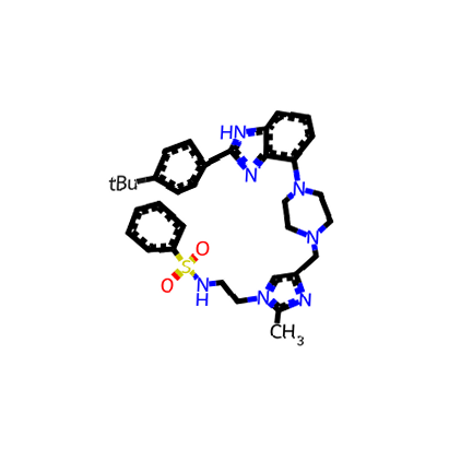 Cc1nc(CN2CCN(c3cccc4[nH]c(-c5ccc(C(C)(C)C)cc5)nc34)CC2)cn1CCNS(=O)(=O)c1ccccc1